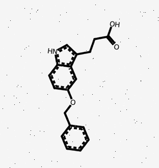 O=C(O)CCc1c[nH]c2ccc(OCc3ccccc3)cc12